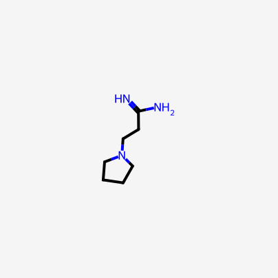 N=C(N)CCN1CCCC1